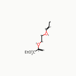 C=C(OCCO/C=C/C)C(=O)OCC